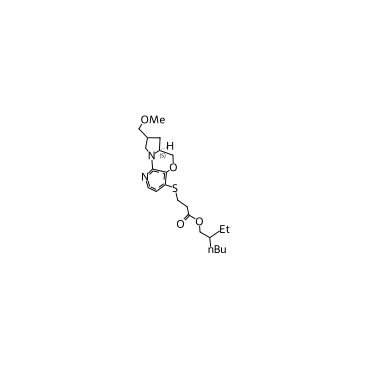 CCCCC(CC)COC(=O)CCSc1ccnc2c1OC[C@@H]1CC(COC)CN21